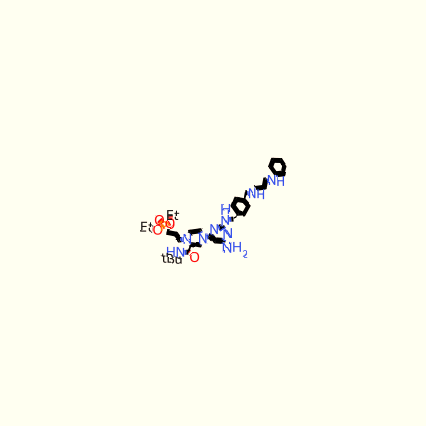 CCOP(=O)(CCCN1CCN(c2cc(N)nc(NC[C@H]3CC[C@H](CNCCCNC4CCCCC4)CC3)n2)C[C@H]1C(=O)NC(C)(C)C)OCC